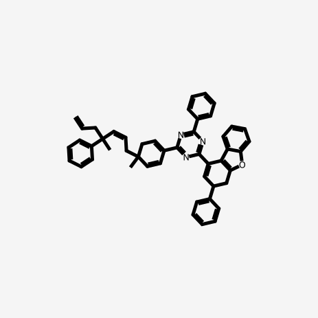 C=CCC(C)(/C=C\CC1(C)C=CC(c2nc(C3=CC(c4ccccc4)Cc4oc5ccccc5c43)nc(-c3ccccc3)n2)=CC1)c1ccccc1